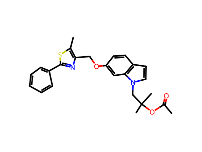 CC(=O)OC(C)(C)Cn1ccc2ccc(OCc3nc(-c4ccccc4)sc3C)cc21